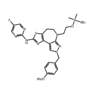 COc1ccc(Cn2cc3c(n2)N(CCO[Si](C)(C)C(C)(C)C)CCc2sc(Nc4ncc(F)cn4)nc2-3)cc1